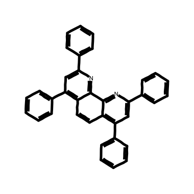 c1ccc(-c2cc(-c3ccccc3)c3ccc4c(-c5ccccc5)cc(-c5ccccc5)nc4c3n2)cc1